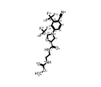 COC(=O)NCCNC(=O)[C@@H]1CN(c2ccc(C#N)c(C(F)(F)F)c2)[C@@H](C(F)(F)F)O1